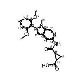 COc1ncnc(OC)c1-c1cc2cc(NC(=O)C3CC3C(=O)O)ncc2n1C